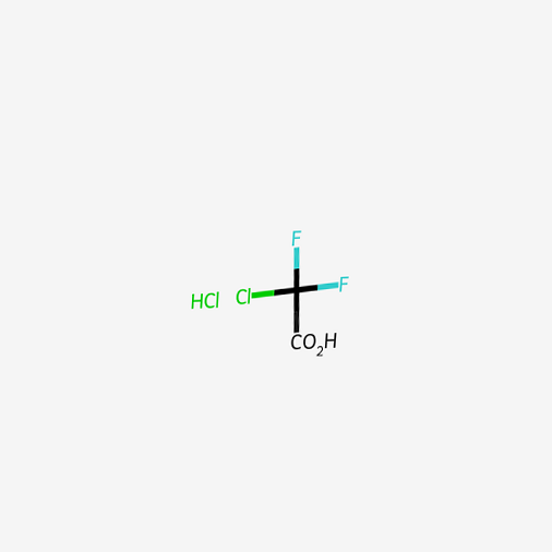 Cl.O=C(O)C(F)(F)Cl